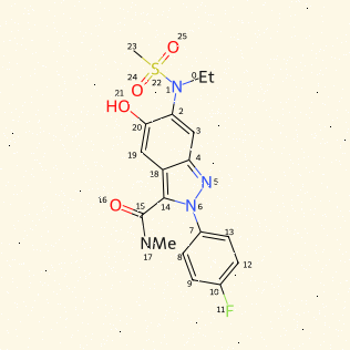 CCN(c1cc2nn(-c3ccc(F)cc3)c(C(=O)NC)c2cc1O)S(C)(=O)=O